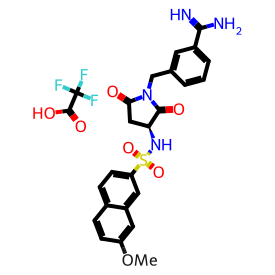 COc1ccc2ccc(S(=O)(=O)N[C@H]3CC(=O)N(Cc4cccc(C(=N)N)c4)C3=O)cc2c1.O=C(O)C(F)(F)F